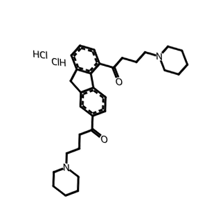 Cl.Cl.O=C(CCCN1CCCCC1)c1ccc2c(c1)Cc1cccc(C(=O)CCCN3CCCCC3)c1-2